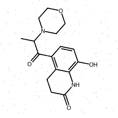 CC(C(=O)c1ccc(O)c2c1CCC(=O)N2)N1CCOCC1